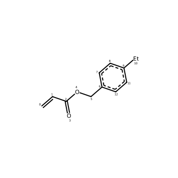 C=CC(=O)OCc1ccc(CC)cc1